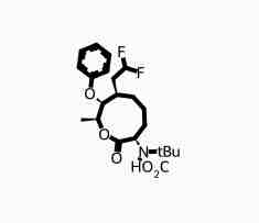 C[C@@H]1OC(=O)[C@@H](N(C(=O)O)C(C)(C)C)CCC[C@H](CC(F)F)[C@H]1Oc1ccccc1